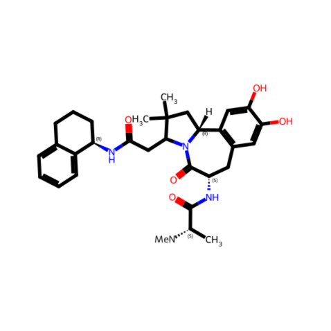 CN[C@@H](C)C(=O)N[C@H]1Cc2cc(O)c(O)cc2[C@H]2CC(C)(C)C(CC(=O)N[C@@H]3CCCc4ccccc43)N2C1=O